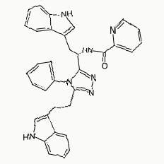 O=C(NC(Cc1c[nH]c2ccccc12)c1nnc(CCc2c[nH]c3ccccc23)n1-c1ccccc1)c1ccccn1